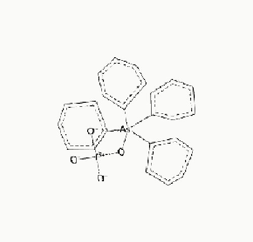 [O-][I+3]([O-])([O-])O[As](c1ccccc1)(c1ccccc1)(c1ccccc1)c1ccccc1